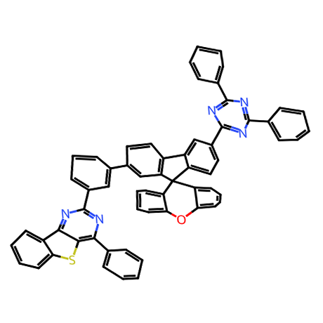 c1ccc(-c2nc(-c3ccccc3)nc(-c3ccc4c(c3)-c3ccc(-c5cccc(-c6nc(-c7ccccc7)c7sc8ccccc8c7n6)c5)cc3C43c4ccccc4Oc4ccccc43)n2)cc1